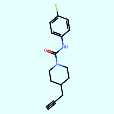 C#CCC1CCN(C(=O)Nc2ccc(F)cc2)CC1